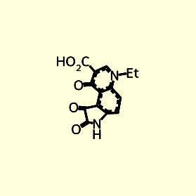 CCn1cc(C(=O)O)c(=O)c2c3c(ccc21)NC(=O)C3=O